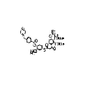 CCC(CC)Oc1cc2oc(Sc3ccc(OC(=O)c4ccc(CN5CCN(C)CC5)cc4)cc3)cc(=O)c2c(OC)c1OC.Cl.Cl